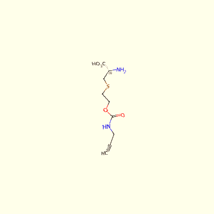 C#CCNC(=O)OCCSC[C@@H](N)C(=O)O